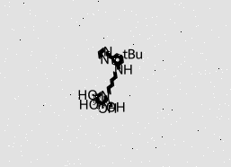 CC(C)(C)c1cc(NCCCCCCN2C[C@H](O)[C@@H](O)[C@H](O)[C@H]2CO)cc(-c2ncccn2)c1